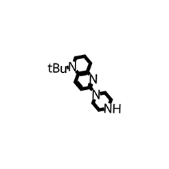 CC(C)(C)N1CCCc2nc(N3CCNCC3)ccc21